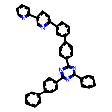 c1ccc(-c2ccc(-c3nc(-c4ccccc4)nc(-c4ccc(-c5cccc(-c6ccc(-c7ccccn7)cn6)c5)cc4)n3)cc2)cc1